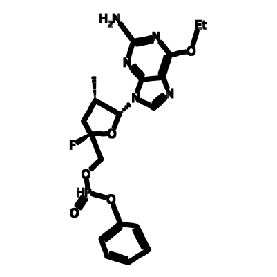 CCOc1nc(N)nc2c1ncn2[C@@H]1O[C@](F)(CO[PH](=O)Oc2ccccc2)C[C@@H]1C